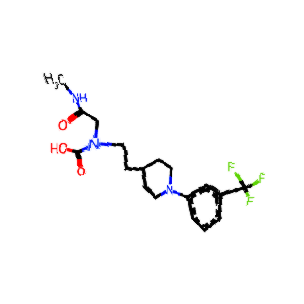 CNC(=O)CN(CCC1CCN(c2cccc(C(F)(F)F)c2)CC1)C(=O)O